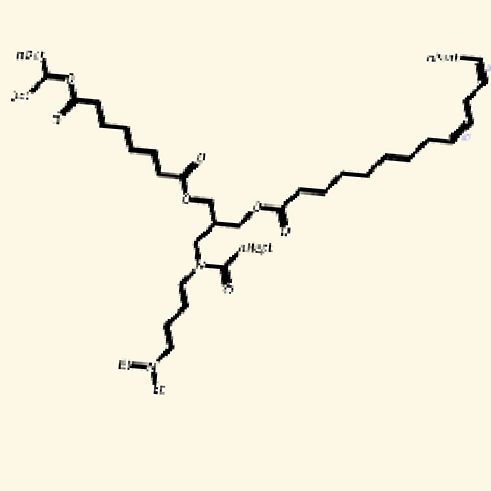 CCCCC/C=C\C/C=C\CCCCCCCC(=O)OCC(COC(=O)CCCCCCC(=O)OC(CCCCCCCC)CCCCCCCC)CN(CCCCN(CC)CC)C(=O)CCCCCCC